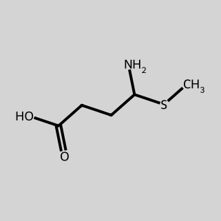 CSC(N)CCC(=O)O